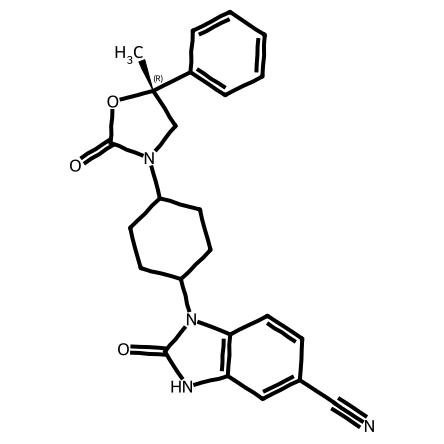 C[C@@]1(c2ccccc2)CN(C2CCC(n3c(=O)[nH]c4cc(C#N)ccc43)CC2)C(=O)O1